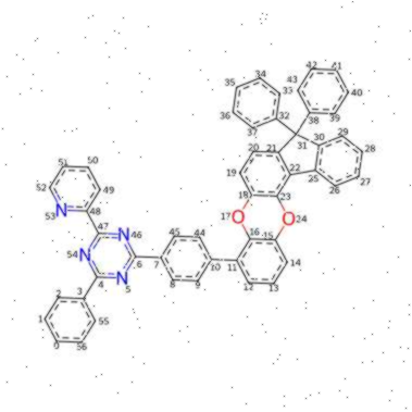 c1ccc(-c2nc(-c3ccc(-c4cccc5c4Oc4ccc6c(c4O5)-c4ccccc4C6(c4ccccc4)c4ccccc4)cc3)nc(-c3ccccn3)n2)cc1